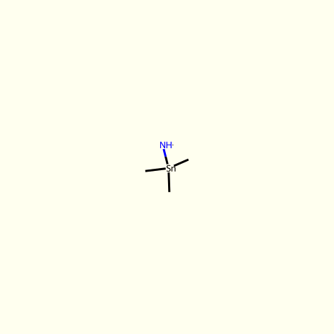 [CH3][Sn]([CH3])([CH3])[NH]